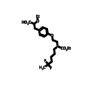 CCOC(=O)N(CCCCC(C)(F)F)CCOc1ccc(CC(OCC)C(=O)O)cc1